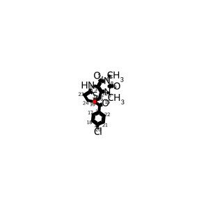 Cn1c2c(c(=O)n(C)c1=O)N/C(SCC(=O)c1ccc(Cl)cc1)=C/CCC2